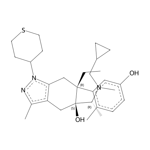 CC[C@]1(c2cc(O)ccc2C)Cc2c(c(C)nn2C2CCSCC2)C[C@@]1(O)[C@@H](C)N(C)CC1CC1